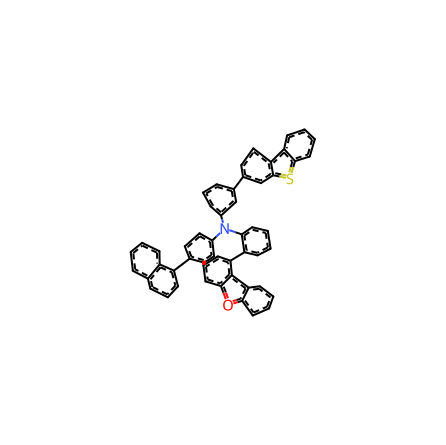 c1cc(-c2ccc3c(c2)sc2ccccc23)cc(N(c2ccc(-c3cccc4ccccc34)cc2)c2ccccc2-c2cccc3oc4ccccc4c23)c1